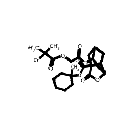 CCC(C)(C)C(=O)OCC(=O)OC1C2CC3C1OC(=O)C3(C(=O)OC1(C)CCCCC1)C2